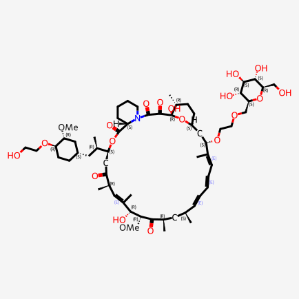 CO[C@@H]1C[C@H](C[C@@H](C)[C@@H]2CC(=O)[C@H](C)/C=C(\C)[C@@H](O)[C@@H](OC)C(=O)[C@H](C)C[C@H](C)/C=C/C=C/C=C(\C)[C@@H](OCCOC[C@@H]3O[C@H](CO)[C@@H](O)[C@H](O)[C@H]3O)C[C@@H]3CC[C@@H](C)[C@@](O)(O3)C(=O)C(=O)N3CCCC[C@H]3C(=O)O2)CC[C@H]1OCCO